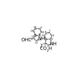 O=C(O)Cc1c[nH]c2ccccc12.O=Cc1c[nH]c2ccccc12